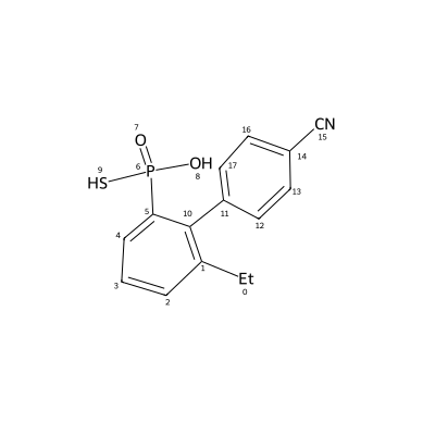 CCc1cccc(P(=O)(O)S)c1-c1ccc(C#N)cc1